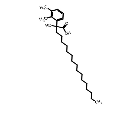 CCCCCCCCCCCCCCCCC(O)(C(=O)O)c1cccc(C)c1C